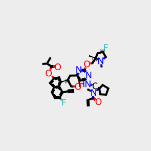 C#Cc1c(F)ccc2cc(OC(=O)C(C)C)cc([C@@H]3COc4c(nc(OC[C@]5(C)C[C@@H](F)CN5C)nc4NCC4(N(C)C(=O)C=C)CCCC4)C3)c12